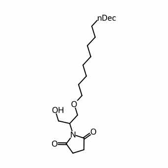 CCCCCCCCCCCCCCCCCCOCC(CO)N1C(=O)CCC1=O